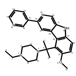 CCN1CCN(C(C)(C)c2c(OC)ccc3[nH]c4cnc(-c5cccnc5)cc4c23)CC1